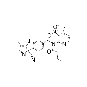 CCCC(=O)N(Cc1ccc(C2(C#N)N=CC(C)=C2I)cc1)c1nccc(C)c1[N+](=O)[O-]